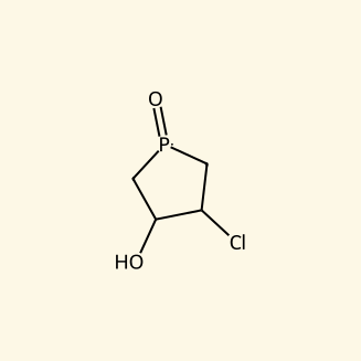 O=[P]1CC(O)C(Cl)C1